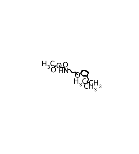 CC(=O)OCC(=O)NCCCOc1cccc(CC(C)(C)C)c1